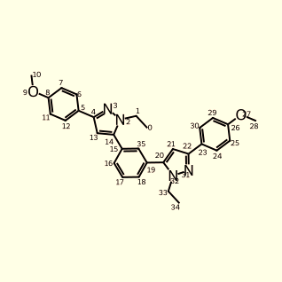 CCn1nc(-c2ccc(OC)cc2)cc1-c1cccc(-c2cc(-c3ccc(OC)cc3)nn2CC)c1